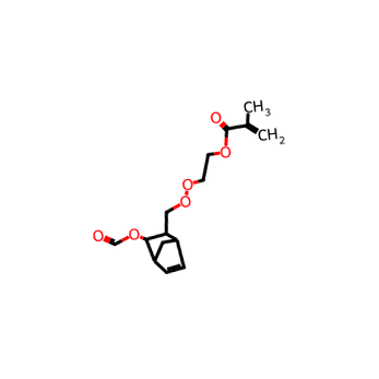 C=C(C)C(=O)OCCOOCC1C2C=CC(C2)C1OC=O